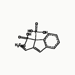 C=CC1=Cc2ccccc2C1(P(=O)(O)O)P(=O)(O)O